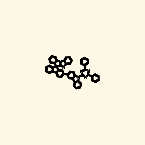 c1ccc(-c2nc(-c3ccccc3)nc(-n3c4ccccc4c4cc(-c5ccc6c(c5)C5(c7ccccc7-6)c6ccccc6-n6c5nc5ccccc56)ccc43)n2)cc1